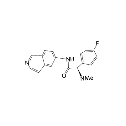 CN[C@@H](C(=O)Nc1ccc2cnccc2c1)c1ccc(F)cc1